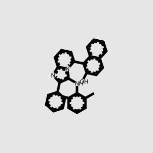 Cc1cccc(C)c1Nc1c(-c2ccccc2)nc2cccc(-c3c(O)ccc4ccccc34)n12